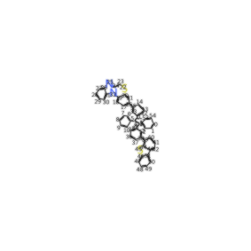 c1ccc([Si](c2ccccc2)(c2cccc(-c3ccc4c(c3)SCc3nc5ccccc5n3-4)c2)c2cccc(-c3cccc4c3sc3ccccc34)c2)cc1